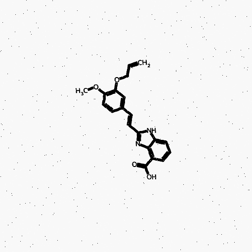 C=CCOc1cc(/C=C/c2nc3c(C(=O)O)cccc3[nH]2)ccc1OC